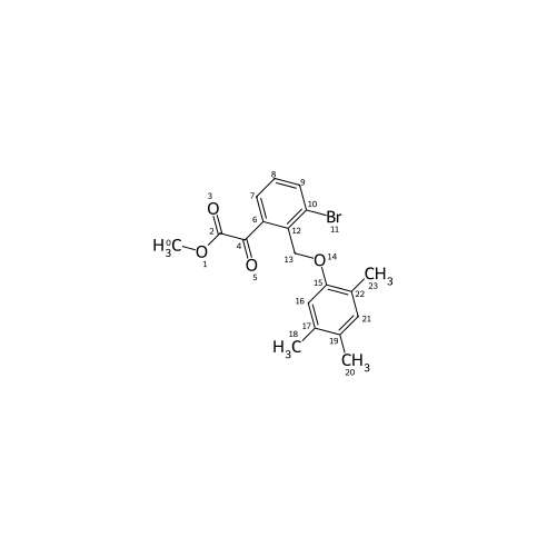 COC(=O)C(=O)c1cccc(Br)c1COc1cc(C)c(C)cc1C